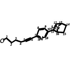 OCCCCC#Cc1ccc(C2CC3CCC2N3)cn1